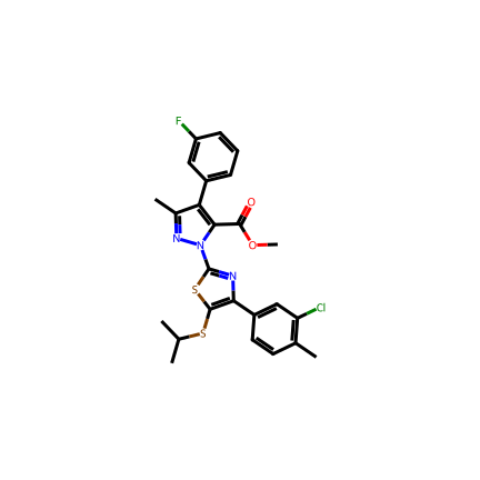 COC(=O)c1c(-c2cccc(F)c2)c(C)nn1-c1nc(-c2ccc(C)c(Cl)c2)c(SC(C)C)s1